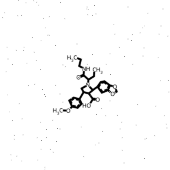 CCCNC(=O)C(CC)N1CC(c2ccc(OC)cc2)C(C(=O)O)C1c1ccc2c(c1)OCO2